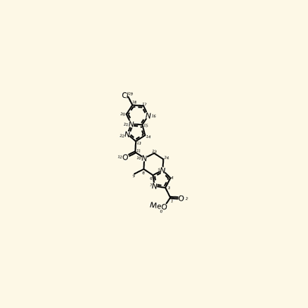 COC(=O)c1cn2c(n1)C(C)N(C(=O)c1cc3ncc(Cl)cn3n1)CC2